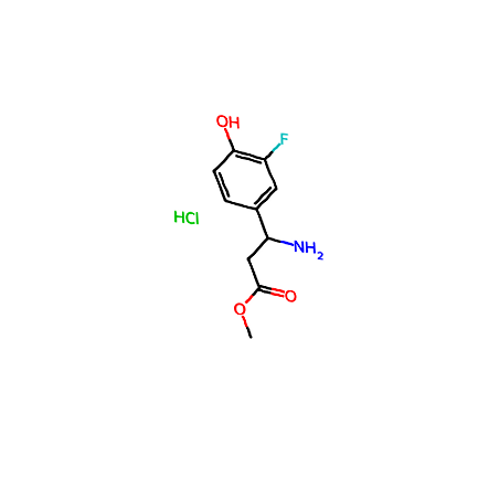 COC(=O)CC(N)c1ccc(O)c(F)c1.Cl